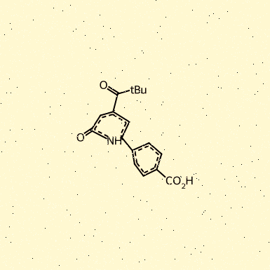 CC(C)(C)C(=O)c1cc(-c2ccc(C(=O)O)cc2)[nH]c(=O)c1